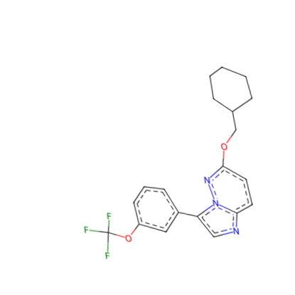 FC(F)(F)Oc1cccc(-c2cnc3ccc(OCC4CCCCC4)nn23)c1